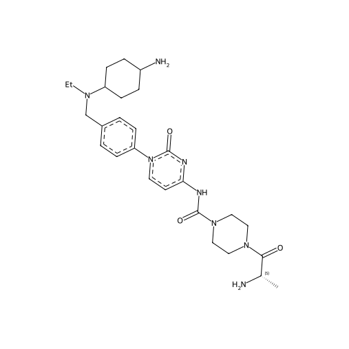 CCN(Cc1ccc(-n2ccc(NC(=O)N3CCN(C(=O)[C@H](C)N)CC3)nc2=O)cc1)C1CCC(N)CC1